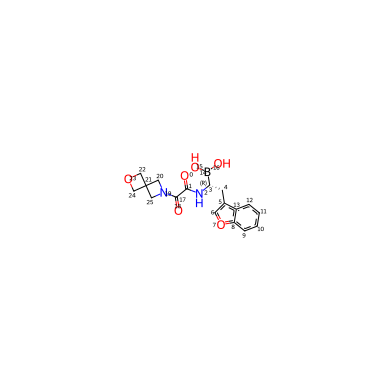 O=C(N[C@@H](Cc1coc2ccccc12)B(O)O)C(=O)N1CC2(COC2)C1